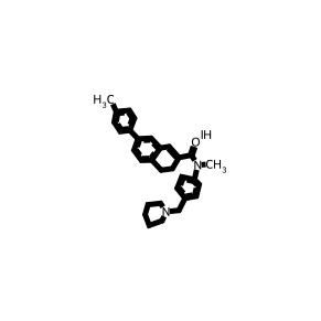 Cc1ccc(-c2ccc3c(c2)C=C(C(=O)N(C)c2ccc(CN4CCCCC4)cc2)CC3)cc1.I